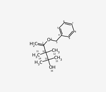 C=C(OCc1ccccc1)C(C)(C)C(C)(C)O